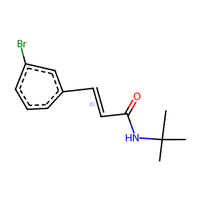 CC(C)(C)NC(=O)/C=C/c1cccc(Br)c1